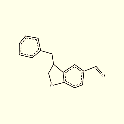 O=Cc1ccc2c(c1)C(Cc1ccccc1)CO2